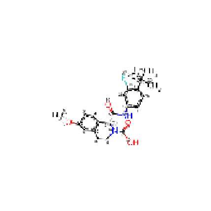 COc1ccc2c(c1)CCN(C(=O)O)[C@H]2C(=O)Nc1ccc([Si](C)(C)C)c(F)c1